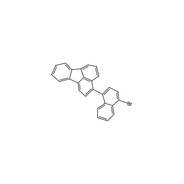 Brc1ccc(-c2ccc3c4c(cccc24)-c2ccccc2-3)c2ccccc12